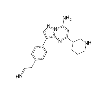 N=CCc1ccc(-c2cnn3c(N)cc(C4CCCNC4)nc23)cc1